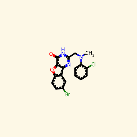 CN(Cc1nc2c(oc3ccc(Br)cc32)c(=O)[nH]1)c1ccccc1Cl